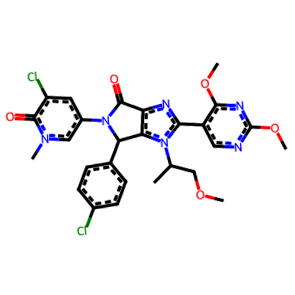 COCC(C)n1c(-c2cnc(OC)nc2OC)nc2c1C(c1ccc(Cl)cc1)N(c1cc(Cl)c(=O)n(C)c1)C2=O